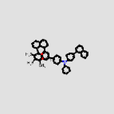 Bc1c(B)c(B)c(-c2cccc3cccc(-c4cccc(-c5ccc(N(c6ccccc6)c6ccc(-c7cccc8ccccc78)cc6)cc5)c4)c23)c(B)c1B